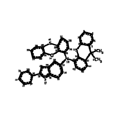 CC1(C)c2ccccc2Sc2c(N(c3ccc4sc(-c5ccccc5)cc4c3)c3cccc4c3Oc3ccccc3S4)cccc21